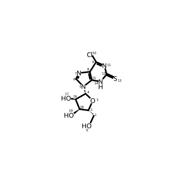 OC[C@H]1O[C@@H](n2cnc3c(Cl)nc(=S)[nH]c32)[C@H](O)[C@@H]1O